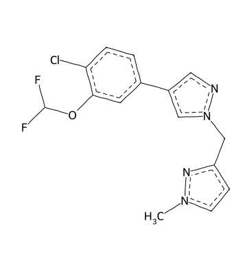 Cn1ccc(Cn2cc(-c3ccc(Cl)c(OC(F)F)c3)cn2)n1